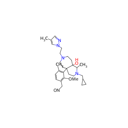 COc1c(CN=O)ccc(C)c1C12CCN(CCn3cc(C)cn3)CCC1(O)C(C)N(CC1CC1)CC2